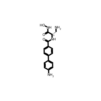 NC[C@H](NC(=O)c1ccc(-c2ccc(N)cc2)cc1)C(=O)NO